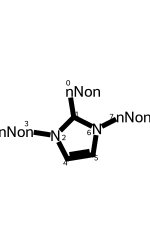 CCCCCCCCCC1N(CCCCCCCCC)C=CN1CCCCCCCCC